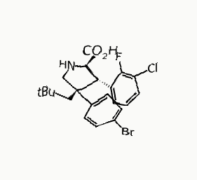 CC(C)(C)C[C@@]1(c2ccc(Br)cc2)CN[C@@H](C(=O)O)[C@@H]1c1cccc(Cl)c1F